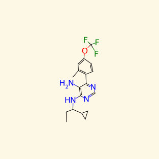 CCC(Nc1ncnc(-c2ccc(OC(F)(F)F)cc2C)c1N)C1CC1